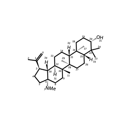 C=C(C)[C@@H]1CC[C@]2(NC)CC[C@]3(C)[C@H](CC[C@@H]4[C@@]5(C)CC[C@H](O)C(C)(C)[C@@H]5CC[C@]43C)[C@@H]12